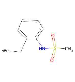 C[C](C)Cc1ccccc1NS(C)(=O)=O